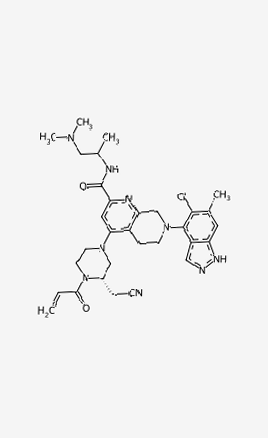 C=CC(=O)N1CCN(c2cc(C(=O)NC(C)CN(C)C)nc3c2CCN(c2c(Cl)c(C)cc4[nH]ncc24)C3)C[C@@H]1CC#N